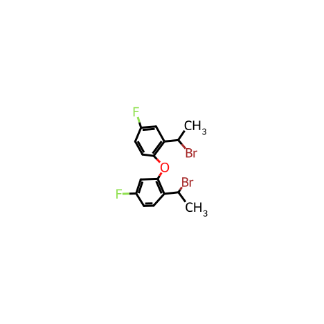 CC(Br)c1ccc(F)cc1Oc1ccc(F)cc1C(C)Br